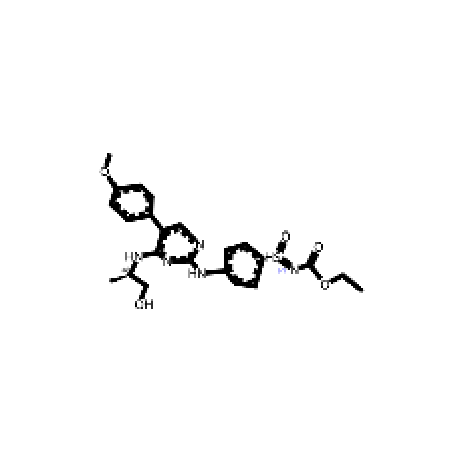 CCOC(=O)/N=[SH](=O)/c1ccc(Nc2ncc(-c3ccc(OC)cc3)c(N[C@H](C)CO)n2)cc1